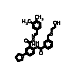 Cc1ccc(C=NNC(=O)c2cc(N3CCCC3)ccc2NC(=O)c2cccc(CSCCO)c2)cc1C